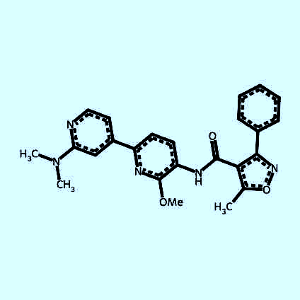 COc1nc(-c2ccnc(N(C)C)c2)ccc1NC(=O)c1c(-c2ccccc2)noc1C